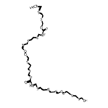 O=C(NCSCCSC/N=C/OOCSCSCO)OCSCCSCOO/C=N\CSCCSCNC(=O)OCSCSCO